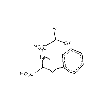 CCC(O)C(=O)O.NC(Cc1ccccc1)C(=O)O